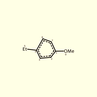 [CH2]Oc1ccc(CC)cc1